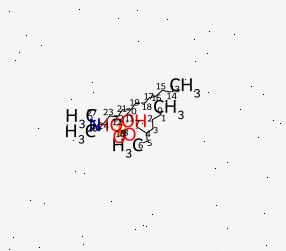 CCCCC(CC)COP(=O)(O)O.CCCCCCCCCCCCN(C)C